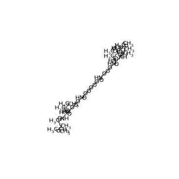 CC1=C(CCC(C)CCCC(C)CC(=O)NCCCC[C@H](NC(=O)CC(C)CCCC(C)C)C(=O)NCCCOCCOCCOCCCNC(=O)CCOCCOCCOCCOCCOCCC(=O)NCCCOCCOCCOCCCNC(=O)[C@H](CCCCNC(=O)CC(C)CCCC(C)CCC2=C(C)CCCC2(C)C)NC(=O)CC(C)CCCC(C)CCC2=C(C)CCCC2(C)C)C(C)(C)CCC1